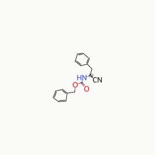 N#C[C@H](Cc1ccccc1)NC(=O)OCc1ccccc1